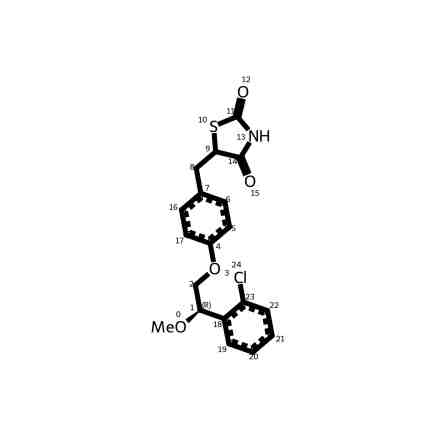 CO[C@@H](COc1ccc(CC2SC(=O)NC2=O)cc1)c1ccccc1Cl